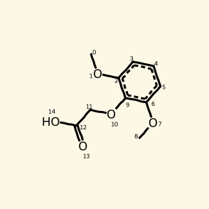 COc1cccc(OC)c1OCC(=O)O